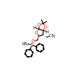 CC1(C)O[C@H]2O[C@H](CO[Si](c3ccccc3)(c3ccccc3)C(C)(C)C)[C@@H](CC#N)[C@H]2O1